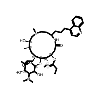 CCC(=O)O[C@@H]1CC(=O)NC(CCCc2ccnc3ccccc23)CCN(C)C[C@H](O)[C@H](C)C[C@H](CC=O)[C@H](O[C@@H]2OC(C)[C@@H](O)C(N(C)C)C2O)[C@H]1OC